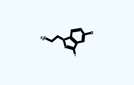 FC(F)(F)CCn1nc(I)c2cc(Cl)ccc21